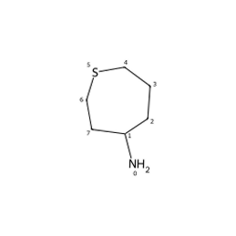 NC1CCCSCC1